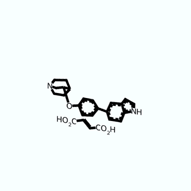 O=C(O)/C=C/C(=O)O.c1cc2cc(-c3ccc(OC4CN5CCC4CC5)cc3)ccc2[nH]1